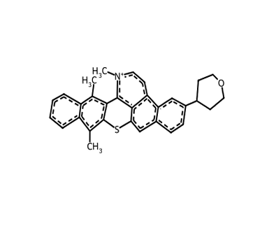 Cc1c2c(c(C)c3ccccc13)-c1c3c(cc4ccc(C5CCOCC5)cc4c3cc[n+]1C)S2